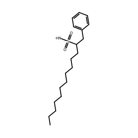 CCCCCCCCCCCC(Cc1ccccc1)S([NH])(=O)=O